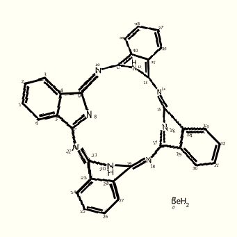 [BeH2].c1ccc2c(c1)-c1nc-2nc2[nH]c(nc3nc(nc4[nH]c(n1)c1ccccc41)-c1ccccc1-3)c1ccccc21